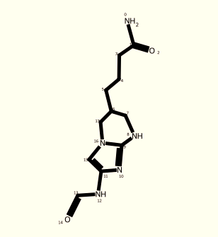 NC(=O)CCCC1CNc2nc(NC=O)cn2C1